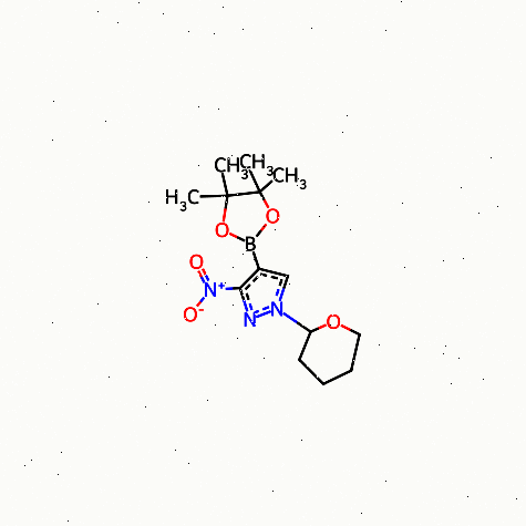 CC1(C)OB(c2cn(C3CCCCO3)nc2[N+](=O)[O-])OC1(C)C